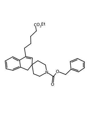 CCOC(=O)CCCCC1=CC2(CCN(C(=O)OCc3ccccc3)CC2)Cc2ccccc21